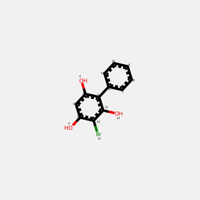 Oc1cc(O)c(-c2ccccc2)c(O)c1Br